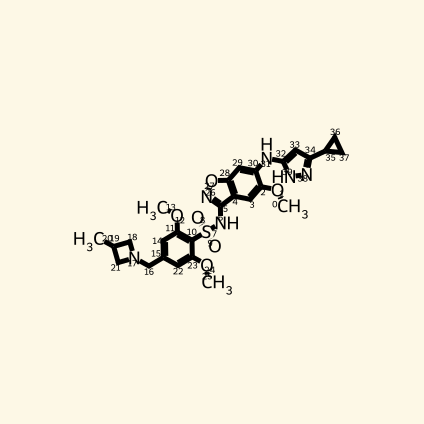 COc1cc2c(NS(=O)(=O)c3c(OC)cc(CN4CC(C)C4)cc3OC)noc2cc1Nc1cc(C2CC2)n[nH]1